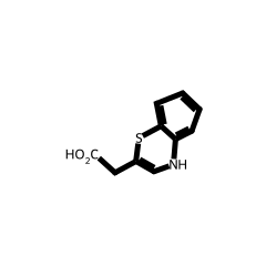 O=C(O)CC1=CNc2ccccc2S1